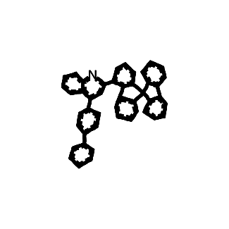 c1ccc(-c2ccc(-c3cc(-c4cccc5c4-c4ccccc4C54c5ccccc5-c5ccccc54)nc4ccccc34)cc2)cc1